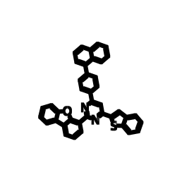 c1ccc2sc(-c3cc(-c4ccc(-c5cccc6ccccc56)cc4)nc(-c4cccc5c4oc4ccccc45)n3)cc2c1